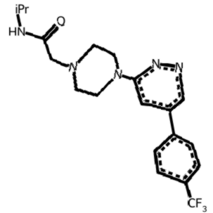 CC(C)NC(=O)CN1CCN(c2cc(-c3ccc(C(F)(F)F)cc3)cnn2)CC1